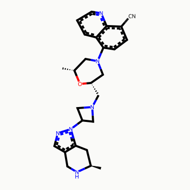 C[C@@H]1Cc2c(cnn2C2CN(C[C@H]3CN(c4ccc(C#N)c5ncccc45)C[C@@H](C)O3)C2)CN1